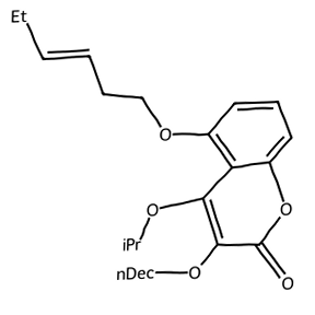 CCC=CCCOc1cccc2oc(=O)c(OCCCCCCCCCC)c(OC(C)C)c12